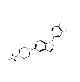 CS(=O)(=O)N1CCN(c2cc3cnn(-c4cc(O)c(F)cn4)c3cn2)CC1